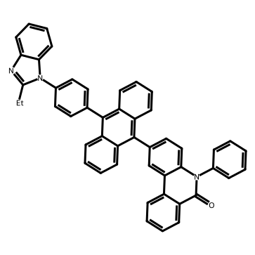 CCc1nc2ccccc2n1-c1ccc(-c2c3ccccc3c(-c3ccc4c(c3)c3ccccc3c(=O)n4-c3ccccc3)c3ccccc23)cc1